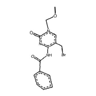 COCn1cc(CBr)c(NC(=O)c2ccccc2)nc1=O